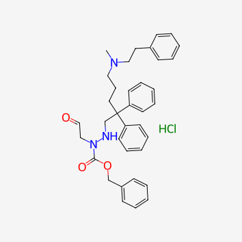 CN(CCCC(CNN(CC=O)C(=O)OCc1ccccc1)(c1ccccc1)c1ccccc1)CCc1ccccc1.Cl